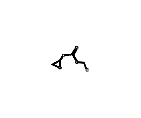 O=C(OCCl)OC1CO1